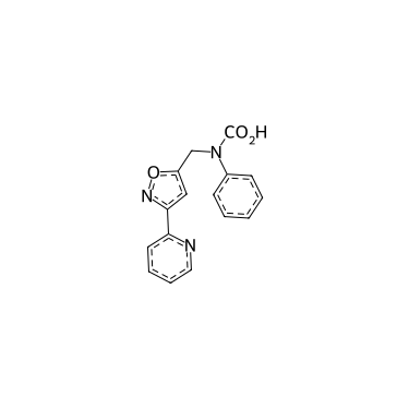 O=C(O)N(Cc1cc(-c2ccccn2)no1)c1ccccc1